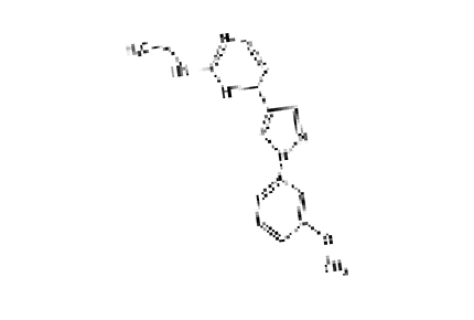 CCNc1nccc(-c2cnn(-c3cccc(OC)c3)c2)n1